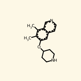 Cc1c(OC2CCNCC2)cc2ccncc2c1C